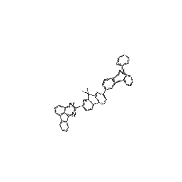 CC1(C)c2cc(-c3ccc4c(c3)c3ccccc3n4-c3ccccc3)ccc2-c2ccc(-c3nc4c5c(cccc5n3)-c3ccccc3-4)cc21